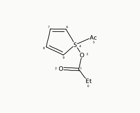 CCC(=O)OS1(C(C)=O)C=CC=C1